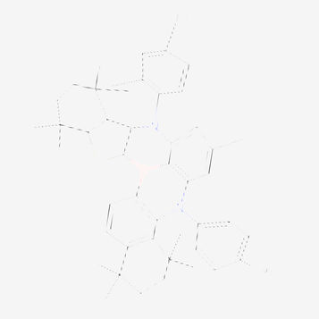 Cc1cc2c3c(c1)N(c1ccc(C(C)(C)C)cc1C)C1C(SC4C1C(C)(C)CCC4(C)C)B3c1ccc3c(c1N2c1ccc(C(C)(C)C)cc1)C(C)(C)CCC3(C)C